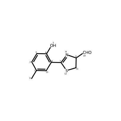 Cc1ccc(O)c(C2=NC(C=O)CS2)c1